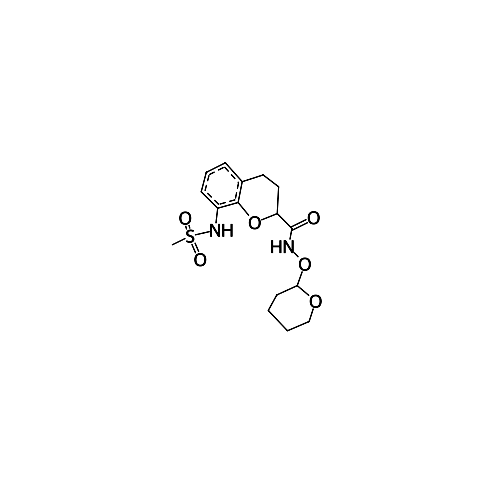 CS(=O)(=O)Nc1cccc2c1OC(C(=O)NOC1CCCCO1)CC2